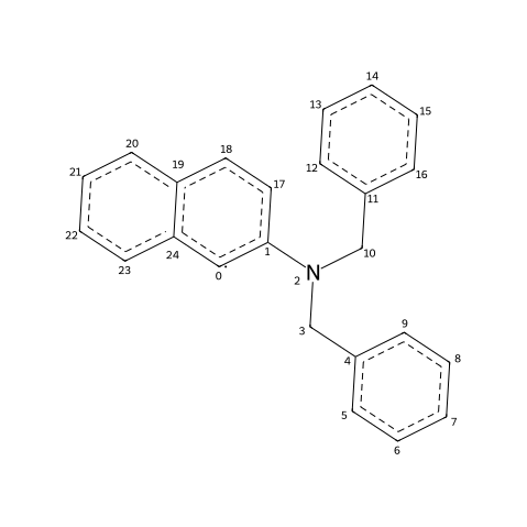 [c]1c(N(Cc2ccccc2)Cc2ccccc2)ccc2ccccc12